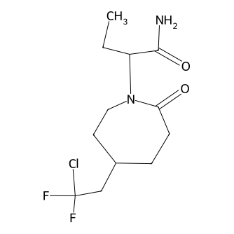 CCC(C(N)=O)N1CCC(CC(F)(F)Cl)CCC1=O